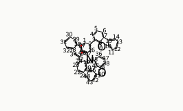 c1cc(-c2cccc3c2oc2ccccc23)cc(N(c2ccccc2-c2ccc3ccccc3c2)c2cccc3oc4ccccc4c23)c1